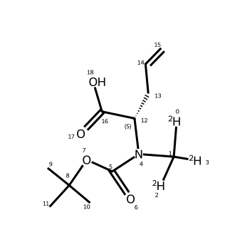 [2H]C([2H])([2H])N(C(=O)OC(C)(C)C)[C@@H](CC=C)C(=O)O